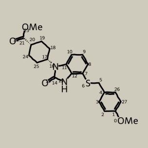 COc1ccc(CSc2cccc3c2[nH]c(=O)n3[C@H]2CC[C@@H](C(=O)OC)CC2)cc1